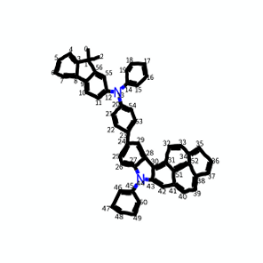 CC1(C)c2ccccc2-c2ccc(N(c3ccccc3)c3ccc(-c4ccc5c(c4)c4c6ccc7cccc8ccc(cc4n5-c4ccccc4)c6c87)cc3)cc21